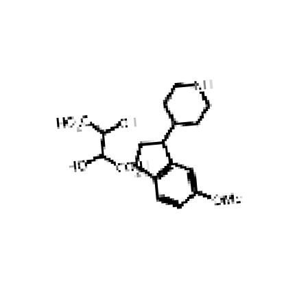 COc1ccc2c(c1)C(C1CCNCC1)CC2.O=C(O)C(O)C(O)C(=O)O